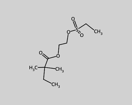 CCC(C)(C)C(=O)OCCOS(=O)(=O)CC